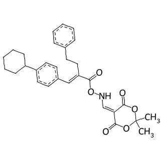 CC1(C)OC(=O)C(=CNOC(=O)C(=Cc2ccc(C3CCCCC3)cc2)CCc2ccccc2)C(=O)O1